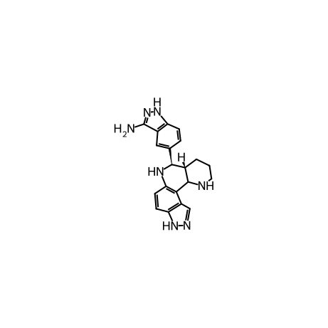 Nc1n[nH]c2ccc([C@@H]3Nc4ccc5[nH]ncc5c4C4NCCC[C@H]43)cc12